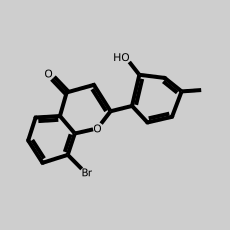 Cc1ccc(-c2cc(=O)c3cccc(Br)c3o2)c(O)c1